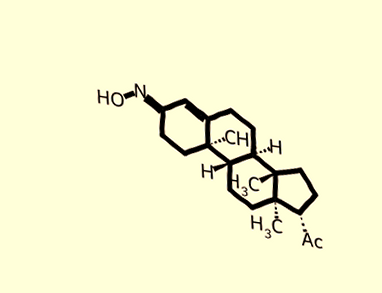 CC(=O)[C@H]1CC[C@@]2(C)[C@@H]3CCC4=C/C(=N/O)CC[C@]4(C)[C@H]3CC[C@]12C